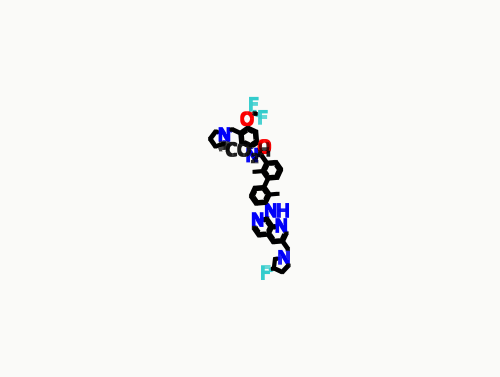 Cc1c(Nc2nccc3cc(CN4CCC(F)C4)cnc23)cccc1-c1cccc(-c2nc3cc(CN4CCC[C@H]4C(=O)O)c(OC(F)F)cc3o2)c1C